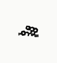 CC(CSC1C(C(=O)O)=CC=CN1CC1CC2CCC1C2)Cc1ccc(F)cc1